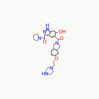 O=C(c1cc2c(C(=O)N3CCCC3)n[nH]c2cc1O)N1Cc2ccc(OCCN3CCNCC3)cc2C1